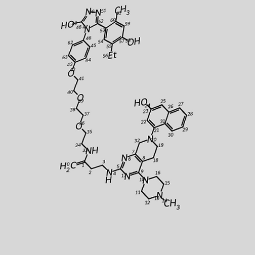 C=C(CCNc1nc2c(c(N3CCN(C)CC3)n1)CCN(c1cc(O)cc3ccccc13)C2)NCCOCCOCCOc1ccc(-n2c(O)nnc2-c2cc(CC)c(O)cc2C)cc1